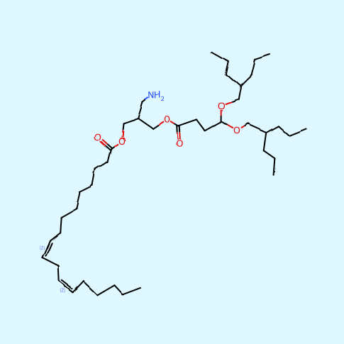 CCCCC/C=C\C/C=C\CCCCCCCC(=O)OCC(CN)COC(=O)CCC(OCC(CCC)CCC)OCC(CCC)CCC